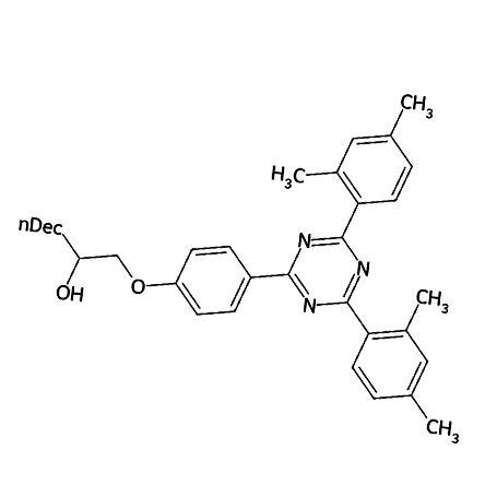 CCCCCCCCCCC(O)COc1ccc(-c2nc(-c3ccc(C)cc3C)nc(-c3ccc(C)cc3C)n2)cc1